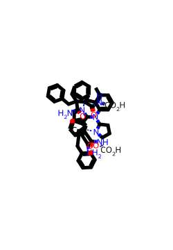 Cc1cccc(N(C2CCCN2[C@@]2(C(=O)NC(=O)O)c3ccc(cc3)CC2(Cc2ccccc2)C(N)=O)C2CCCN2[C@@]2(C(=O)NC(=O)O)c3ccc(cc3)CC2(Cc2ccccc2)C(N)=O)c1C